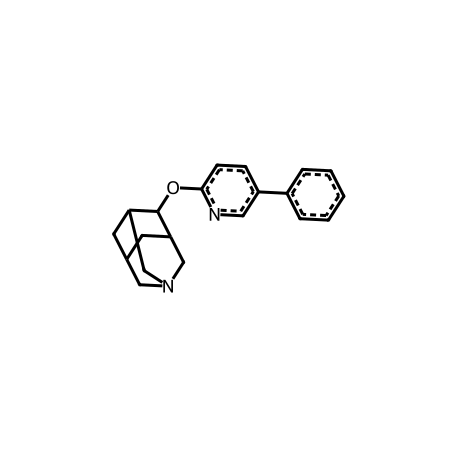 c1ccc(-c2ccc(OC3C4CC5CC3CN(C5)C4)nc2)cc1